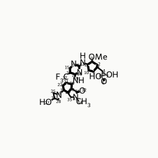 COc1cc(CP(=O)(O)O)ccc1Nc1ncc(C(F)(F)F)c(Nc2ccc(N3CC(O)C3)c3c2C(=O)N(C)C3)n1